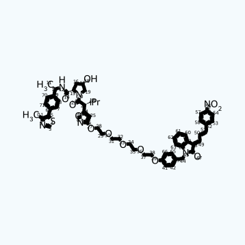 Cc1ncsc1-c1ccc([C@H](C)NC(=O)[C@@H]2C[C@@H](O)CN2C(=O)[C@@H](c2cc(OCCOCCOCCOCCOc3ccc(CN4C(=O)/C(=C/C=C/c5ccc([N+](=O)[O-])cc5)c5ccccc54)cc3)no2)C(C)C)cc1